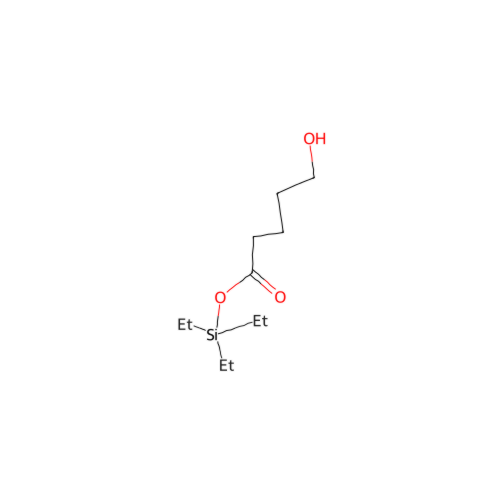 CC[Si](CC)(CC)OC(=O)CCCCO